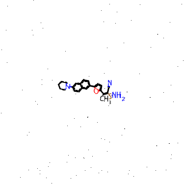 C/C(=C(/C#N)SN)c1ccc(-c2ccc3cc(N4CCCCC4)ccc3c2)o1